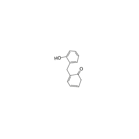 O=C1CC=CC=C1Cc1ccccc1O